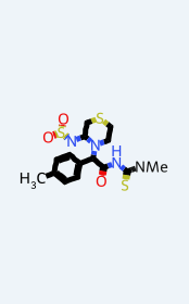 CNC(=S)NC(=O)C(c1ccc(C)cc1)N1CCSCC1N=S(=O)=O